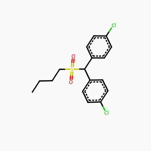 CCCCS(=O)(=O)C(c1ccc(Cl)cc1)c1ccc(Cl)cc1